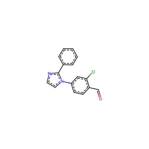 O=Cc1ccc(-n2ccnc2-c2ccccc2)cc1Cl